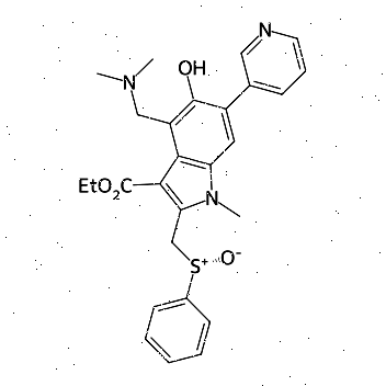 CCOC(=O)c1c(C[S@+]([O-])c2ccccc2)n(C)c2cc(-c3cccnc3)c(O)c(CN(C)C)c12